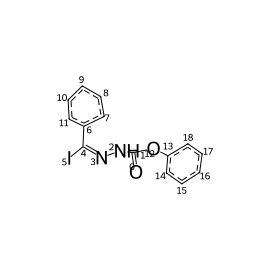 O=C(N/N=C(/I)c1ccccc1)Oc1ccccc1